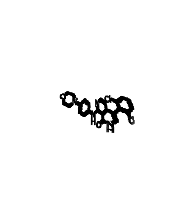 O=c1[nH]cc(-c2c(Cl)cccc2Cl)c2ccnc(Nc3ccc(N4CCOCC4)cc3)c12